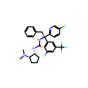 CN(C)[C@@H]1CCC[C@H]1NC(=O)N[C@@](Cc1ccccc1)(c1cc(F)cc(C(F)(F)F)c1)c1ccc(Cl)cn1